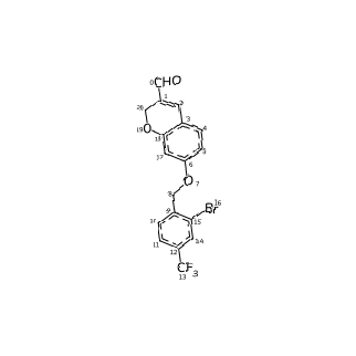 O=CC1=Cc2ccc(OCc3ccc(C(F)(F)F)cc3Br)cc2OC1